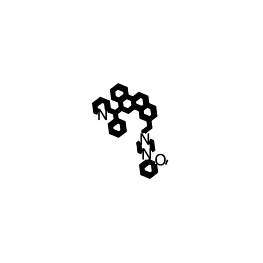 COc1ccccc1N1CCN(CCc2ccc3ccc4c(c3c2)CC(C(c2ccccc2)c2ccccn2)C2=C4C=CCC2)CC1